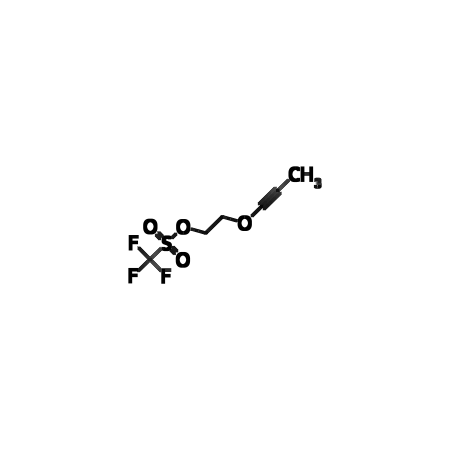 CC#COCCOS(=O)(=O)C(F)(F)F